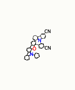 N#CC1=CC2C3=C(C=CCC3)N(c3cc(C#N)ccc3-c3cccc4c3oc3c4ccc4c5ccccc5n(-c5ccccc5)c43)C2C=C1